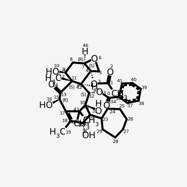 CC(=O)O[C@@]12CO[C@@H]1C[C@H](O)[C@@]1(C)C(=O)[C@H](O)C3=C(C)[C@@H](O)C(C4CCCCCC4)[C@@](O)([C@@H](OC(=O)c4ccccc4)[C@H]21)C3(C)C